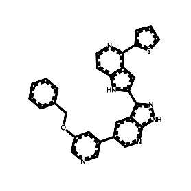 c1ccc(COc2cncc(-c3cnc4[nH]nc(-c5cc6c(-c7cccs7)nccc6[nH]5)c4c3)c2)cc1